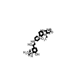 CS(=O)(=O)Nc1cc([C@@H](O)CNC2CCN(c3ccc(NC4=NS(=O)(=O)N=C4NCC(=O)O)cc3)CC2)ccc1O